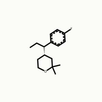 CCC(c1ccc(F)cc1)[C@H]1CCOC(C)(C)C1